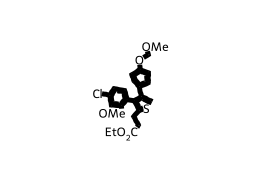 CCOC(=O)CCc1scc(-c2ccc(OCOC)cc2)c1-c1ccc(Cl)cc1OC